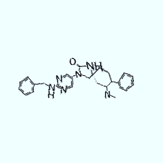 CN(C)C1C[C@]2(CCC1c1ccccc1)CN(c1cnc(NCc3ccccc3)nc1)C(=O)N2